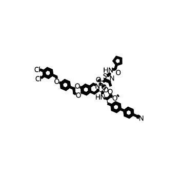 COC(=O)[C@H](Cc1ccc(-c2ccc(C#N)cc2)cc1)NC(=O)[C@@H]1Cc2cc3c(cc2CN1S(=O)(=O)c1sc(NC(=O)C2CCCC2)nc1C)OC(c1ccc(OCc2ccc(Cl)c(Cl)c2)cc1)CO3